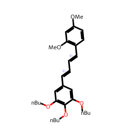 CCCCOc1cc(/C=C/C=C/c2ccc(OC)cc2OC)cc(OCCCC)c1OCCCC